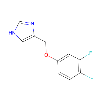 Fc1ccc(OCc2c[nH]cn2)cc1F